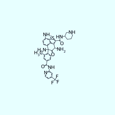 Cc1cc(C(=O)Nc2cc(C(F)(F)F)ccn2)ccc1C1(N)C(=O)C(N)c2c(C(=O)NC3CCCNC3)sc3c(N)ccc1c23